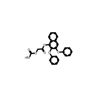 CCCCC(=O)OCC(=O)Oc1c(Oc2ccccc2)c(Oc2ccccc2)cc2ccccc12